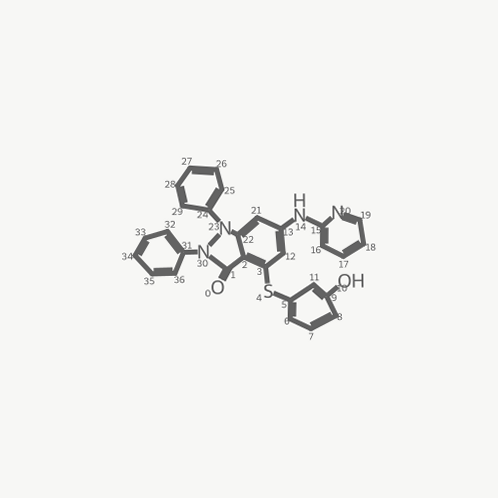 O=c1c2c(Sc3cccc(O)c3)cc(Nc3ccccn3)cc2n(-c2ccccc2)n1-c1ccccc1